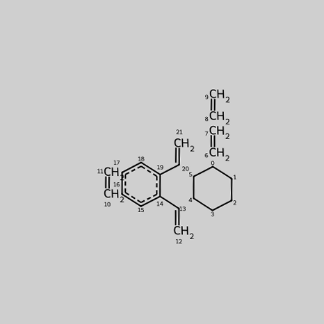 C1CCCCC1.C=C.C=C.C=C.C=Cc1ccccc1C=C